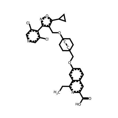 CCc1nc(C(=O)O)cc2ccc(OCC34CCC(OCc5c(-c6c(Cl)cncc6Cl)noc5C5CC5)(CC3)CC4)cc12